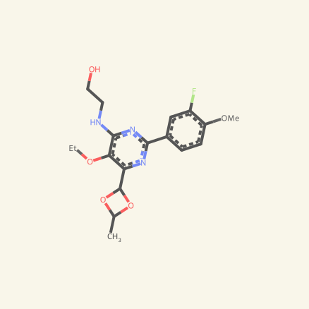 CCOc1c(NCCO)nc(-c2ccc(OC)c(F)c2)nc1C1OC(C)O1